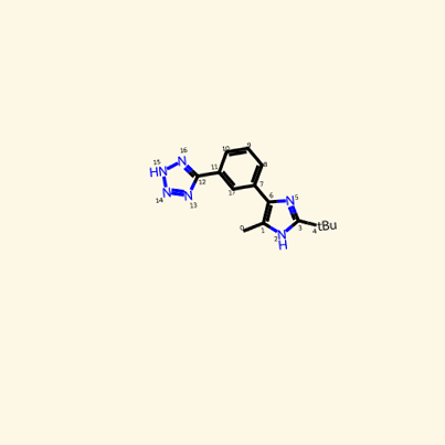 Cc1[nH]c(C(C)(C)C)nc1-c1cccc(-c2nn[nH]n2)c1